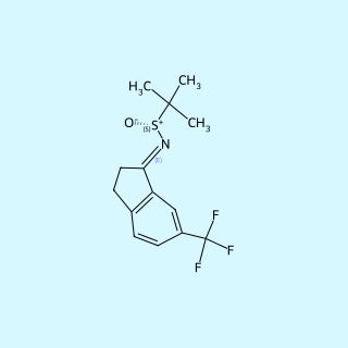 CC(C)(C)[S@@+]([O-])/N=C1\CCc2ccc(C(F)(F)F)cc21